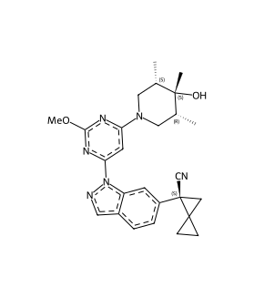 COc1nc(N2C[C@@H](C)[C@@](C)(O)[C@@H](C)C2)cc(-n2ncc3ccc([C@]4(C#N)CC45CC5)cc32)n1